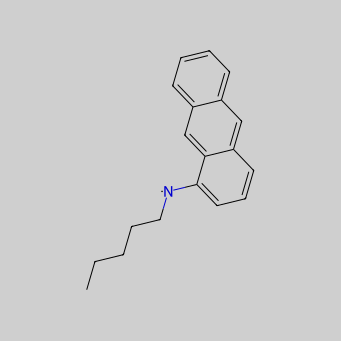 CCCCC[N]c1cccc2cc3ccccc3cc12